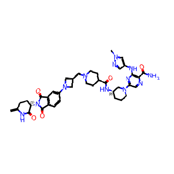 C=C1CC[C@H](N2C(=O)c3ccc(N4CC(CN5CCC(C(=O)N[C@@H]6CCCN(c7cnc(C(N)=O)c(Nc8cnn(C)c8)n7)C6)CC5)C4)cc3C2=O)C(=O)N1